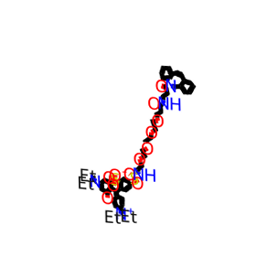 CCN(CC)c1ccc2c(-c3ccc(S(=O)(=O)NCCOCCOCCOCCOCCC(=O)NCCC(=O)N4Cc5ccccc5C#Cc5ccccc54)cc3S(=O)(=O)[O-])c3ccc(=[N+](CC)CC)cc-3oc2c1